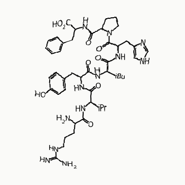 CCC(C)C(NC(=O)C(Cc1ccc(O)cc1)NC(=O)C(NC(=O)C(N)CCCNC(=N)N)C(C)C)C(=O)NC(Cc1c[nH]cn1)C(=O)N1CCCC1C(=O)NC(Cc1ccccc1)C(=O)O